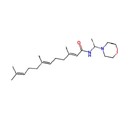 CC(C)=CCC/C(C)=C/CC/C(C)=C/C(=O)NC(C)N1CCOCC1